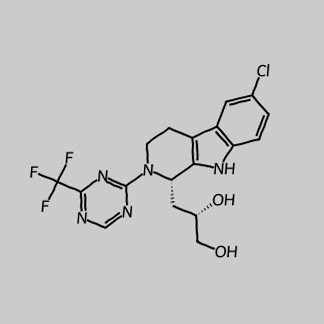 OC[C@@H](O)C[C@H]1c2[nH]c3ccc(Cl)cc3c2CCN1c1ncnc(C(F)(F)F)n1